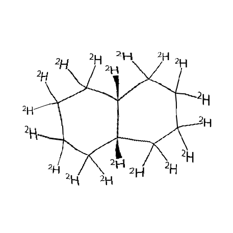 [2H]C1([2H])C([2H])([2H])C([2H])([2H])[C@]2([2H])C([2H])([2H])C([2H])([2H])C([2H])([2H])C([2H])([2H])[C@]2([2H])C1([2H])[2H]